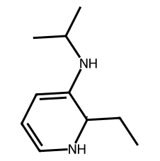 CC[C]1NC=CC=C1NC(C)C